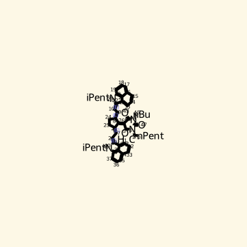 CCCCCC(C)N1C(=O)C(=C2/C(=C/C=c3\c4cccc5cccc(c54)n3C(C)CCC)CC/C2=C\C=c2/c3cccc4cccc(c43)n2C(C)CCC)C(=O)N(CCCC)C1=O